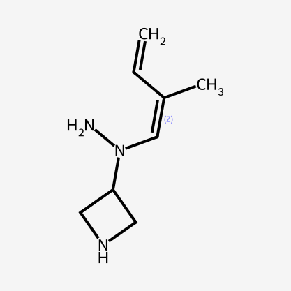 C=C/C(C)=C\N(N)C1CNC1